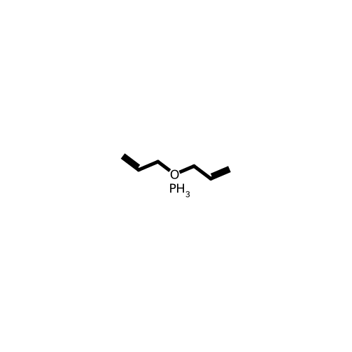 C=CCOCC=C.P